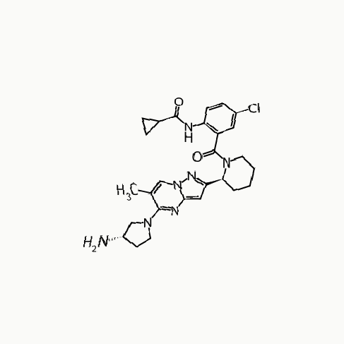 Cc1cn2nc([C@@H]3CCCCN3C(=O)c3cc(Cl)ccc3NC(=O)C3CC3)cc2nc1N1CC[C@H](N)C1